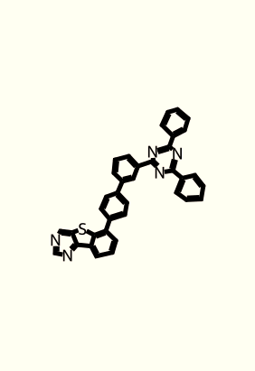 c1ccc(-c2nc(-c3ccccc3)nc(-c3cccc(-c4ccc(-c5cccc6c5sc5cncnc56)cc4)c3)n2)cc1